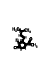 CC(=O)c1ccc(Cl)c(F)c1/C=C/C(C)C